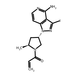 C=CC(=O)N1C[C@@H](n2nc(I)c3c(N)nccc32)C[C@@H]1C